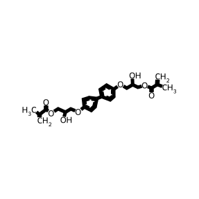 C=C(C)C(=O)OCC(O)COc1ccc(-c2ccc(OCC(O)COC(=O)C(=C)C)cc2)cc1